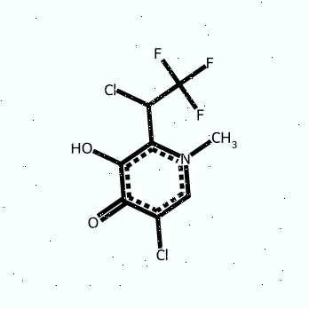 Cn1cc(Cl)c(=O)c(O)c1C(Cl)C(F)(F)F